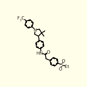 CCS(=O)(=O)c1ccc(CC(=O)Nc2ccc(C3CN(c4ccc(C(F)(F)F)cc4)CC3(C)C)cc2)cc1